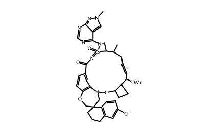 COC1/C=C/CC(C)C(C)S(=O)(Nc2ncnc3nn(C)cc23)=NC(=O)c2ccc3c(c2)N(CC2CCC21)CC1(CCCc2cc(Cl)ccc21)CO3